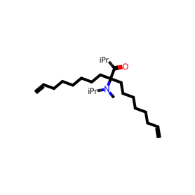 C=CCCCCCCC(CCCCCCC=C)(C(=O)C(C)C)N(C)C(C)C